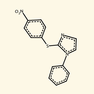 O=[N+]([O-])c1ccc(Sc2nccn2-c2ccccc2)cc1